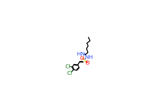 CCCCCCC(=N)NS(=O)(=O)C=Cc1ccc(Cl)c(Cl)c1